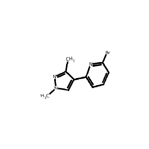 Cc1nn(C)cc1-c1cccc(Br)n1